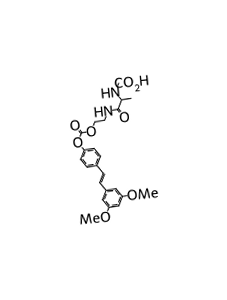 COc1cc(C=Cc2ccc(OC(=O)OCCNC(=O)C(C)NC(=O)O)cc2)cc(OC)c1